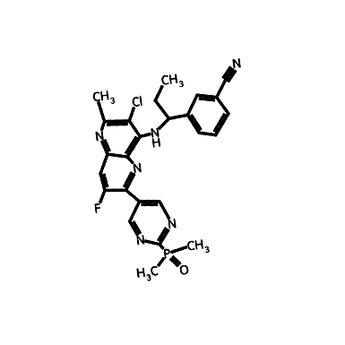 CCC(Nc1c(Cl)c(C)nc2cc(F)c(-c3cnc(P(C)(C)=O)nc3)nc12)c1cccc(C#N)c1